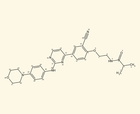 CC(C)C(=O)NCCOc1ccc(-c2ccnc(Nc3ccc(N4CCOCC4)cc3)n2)cc1C#N